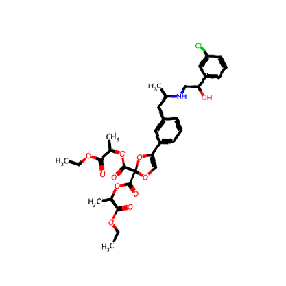 CCOC(=O)C(C)OC(=O)C1(C(=O)OC(C)C(=O)OCC)OC=C(c2cccc(CC(C)NCC(O)c3cccc(Cl)c3)c2)O1